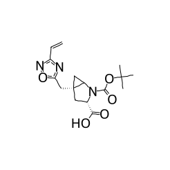 C=Cc1noc(C[C@]23CC2N(C(=O)OC(C)(C)C)[C@H](C(=O)O)C3)n1